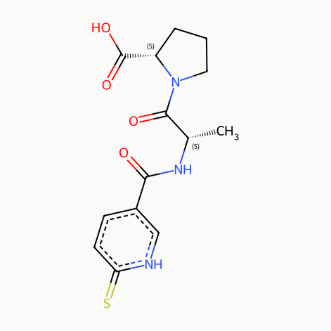 C[C@H](NC(=O)c1ccc(=S)[nH]c1)C(=O)N1CCC[C@H]1C(=O)O